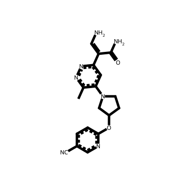 Cc1nnc(/C(=C/N)C(N)=O)cc1N1CCC(Oc2ccc(C#N)cn2)C1